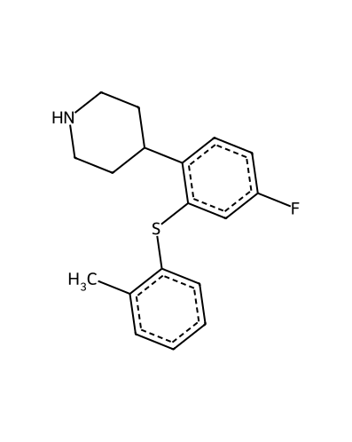 Cc1ccccc1Sc1cc(F)ccc1C1CCNCC1